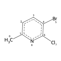 Cc1[c]cc(Br)c(Cl)n1